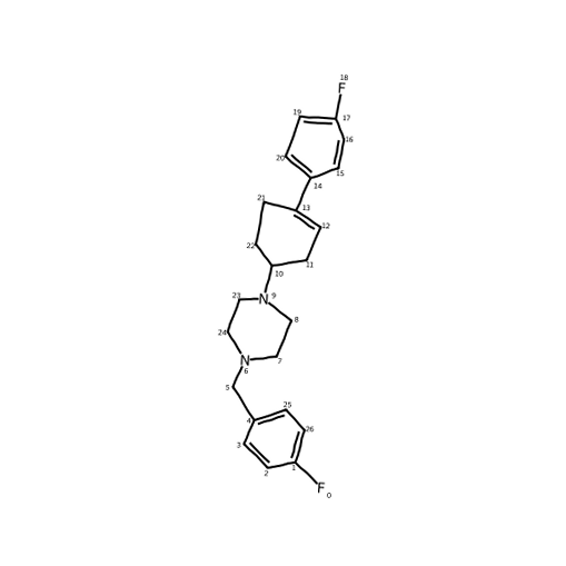 Fc1ccc(CN2CCN(C3CC=C(c4ccc(F)cc4)CC3)CC2)cc1